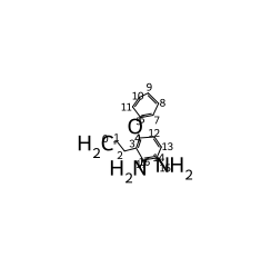 C=CCc1c(Oc2ccccc2)ccc(N)c1N